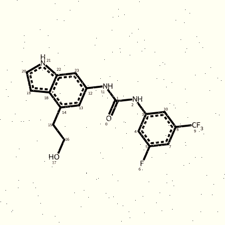 O=C(Nc1cc(F)cc(C(F)(F)F)c1)Nc1cc(CCO)c2cc[nH]c2c1